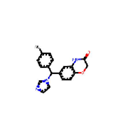 N#Cc1ccc(C(c2ccc3c(c2)NC(=O)CO3)n2ccnc2)cc1